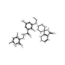 CCN(c1cc(Cl)cc(C(=O)NCc2c(C)cc(C)[nH]c2=O)c1C)[C@H]1CC[C@@]2(CC1)OC(=O)C1=C2CCC=C1